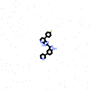 Fc1ccc(-c2ccnc3[nH]c(-c4n[nH]c5ccc(-c6cccnc6)cc45)nc23)cc1